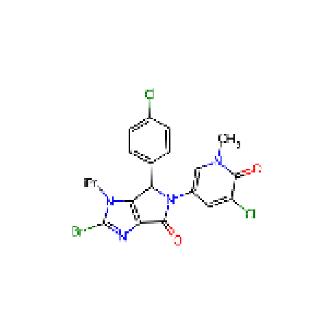 CC(C)n1c(Br)nc2c1C(c1ccc(Cl)cc1)N(c1cc(Cl)c(=O)n(C)c1)C2=O